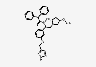 COC1CCN(CC(c2cccc(OCc3nn[nH]n3)c2)N(C)C(=O)C(c2ccccc2)c2ccccc2)C1